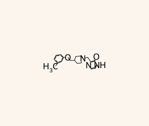 Cc1cccc(OCC2CCN(Cc3ncc[nH]c3=O)CC2)c1